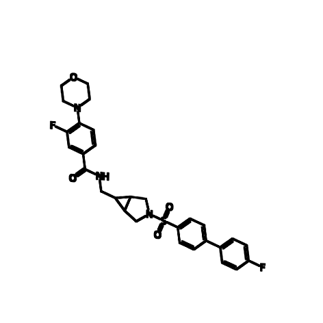 O=C(NCC1C2CN(S(=O)(=O)c3ccc(-c4ccc(F)cc4)cc3)CC12)c1ccc(N2CCOCC2)c(F)c1